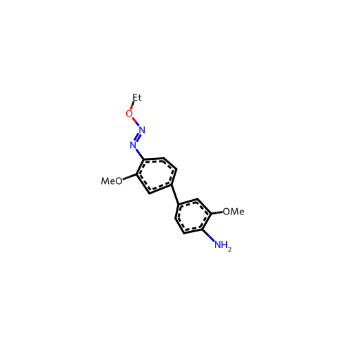 CCON=Nc1ccc(-c2ccc(N)c(OC)c2)cc1OC